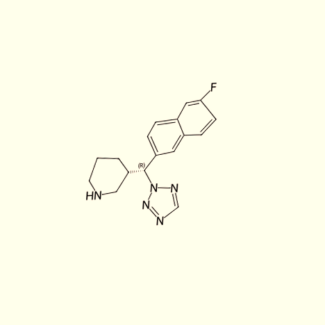 Fc1ccc2cc([C@@H](C3CCCNC3)n3ncnn3)ccc2c1